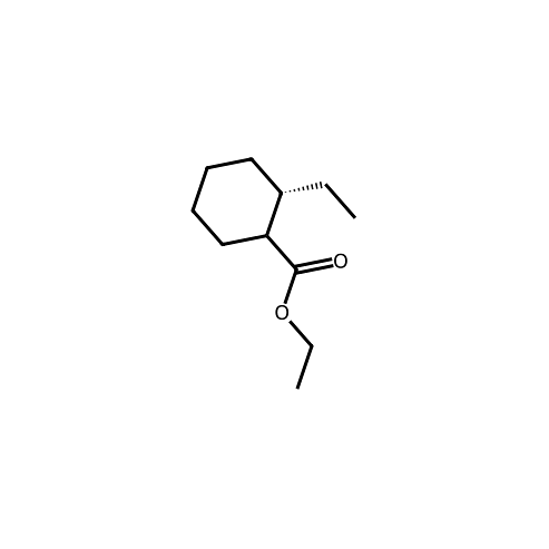 CCOC(=O)C1CCCC[C@@H]1CC